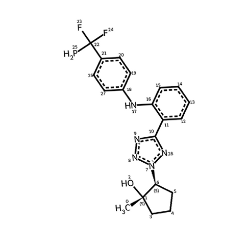 C[C@]1(O)CCC[C@@H]1n1nnc(-c2ccccc2Nc2ccc(C(F)(F)P)cc2)n1